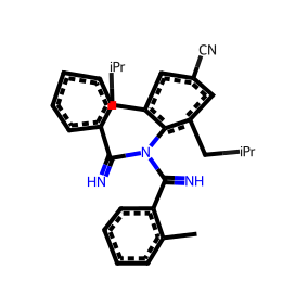 Cc1ccccc1C(=N)N(C(=N)c1ccccc1)c1c(CC(C)C)cc(C#N)cc1CC(C)C